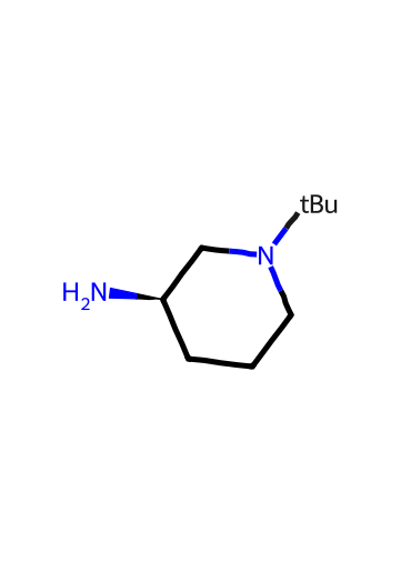 CC(C)(C)N1CCC[C@@H](N)C1